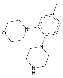 Cc1ccc(N2CCNCC2)c(N2CCOCC2)c1